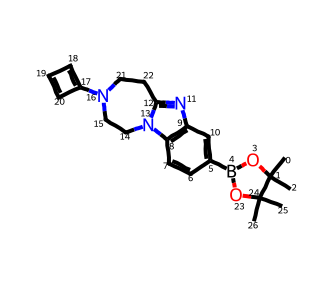 CC1(C)OB(c2ccc3c(c2)nc2n3CCN(C3=CC=C3)CC2)OC1(C)C